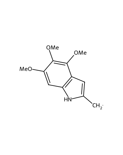 [CH2]c1cc2c(OC)c(OC)c(OC)cc2[nH]1